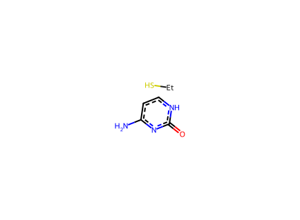 CCS.Nc1cc[nH]c(=O)n1